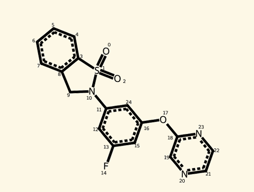 O=S1(=O)c2ccccc2CN1c1cc(F)cc(Oc2cnccn2)c1